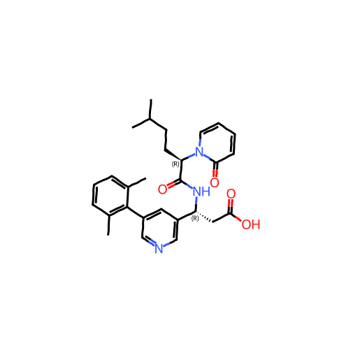 Cc1cccc(C)c1-c1cncc([C@@H](CC(=O)O)NC(=O)[C@@H](CCC(C)C)n2ccccc2=O)c1